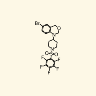 O=S(=O)(c1c(F)c(F)c(F)c(F)c1F)N1CCC(N2COCc3cc(Br)ccc32)CC1